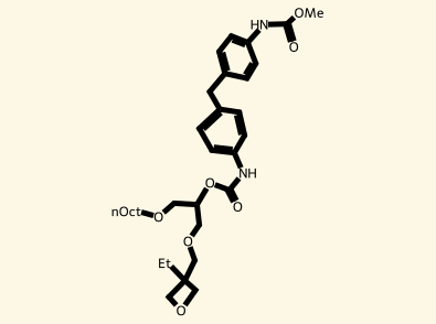 CCCCCCCCOCC(COCC1(CC)COC1)OC(=O)Nc1ccc(Cc2ccc(NC(=O)OC)cc2)cc1